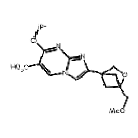 COCC12CC(c3cn4cc(C(=O)O)c(OC(C)C)nc4n3)(CO1)C2